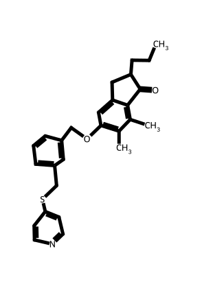 CCCC1Cc2cc(OCc3cccc(CSc4ccncc4)c3)c(C)c(C)c2C1=O